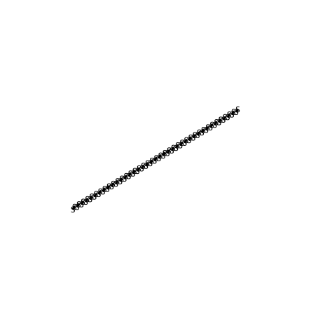 S=S=S=S=S=S=S=S=S=S=S=S=S=S=S=S=S=S=S=S=S=S=S=S=S=S=S=S=S=S=S=S=S=S=S=S=S=S=S=S=S=S=S=S=S=S=S=S=S=S=S=S=S=S=S=S=S=S=S=S=S=S=S=S=S=S=S=S=S=S=S=S=S=S=S=S=S=S